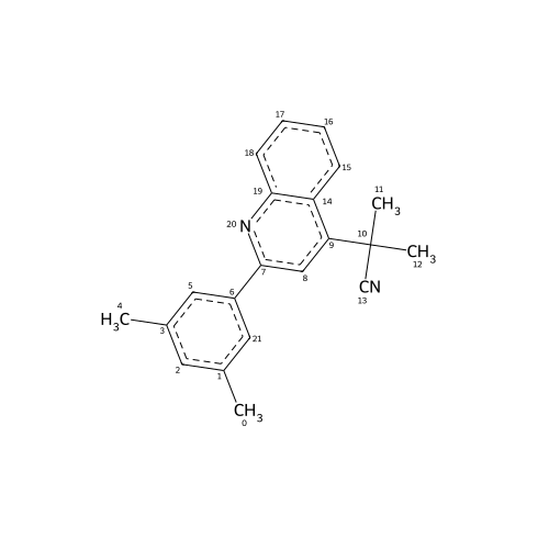 Cc1cc(C)cc(-c2cc(C(C)(C)C#N)c3ccccc3n2)c1